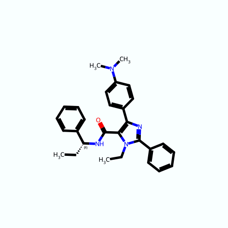 CC[C@@H](NC(=O)c1c(-c2ccc(N(C)C)cc2)nc(-c2ccccc2)n1CC)c1ccccc1